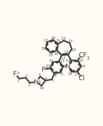 FCCCN1CC(Cc2ccc(C3=C(c4ncc(Cl)cc4C(F)(F)F)CCCc4ccccc43)cc2F)C1